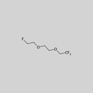 FCCOCCOCC(F)(F)F